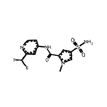 Cn1cc(S(N)(=O)=O)cc1C(=O)Nc1ccnc(C(F)F)c1